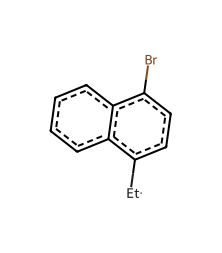 C[CH]c1ccc(Br)c2ccccc12